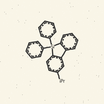 CC(C)c1ccc2c(c1)-c1ccccc1[Si]2(c1ccccc1)c1ccccc1